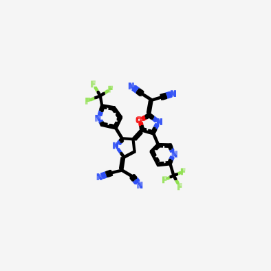 N#CC(C#N)=C1C/C(=c2/oc(=C(C#N)C#N)nc2-c2ccc(C(F)(F)F)nc2)C(c2ccc(C(F)(F)F)nc2)=N1